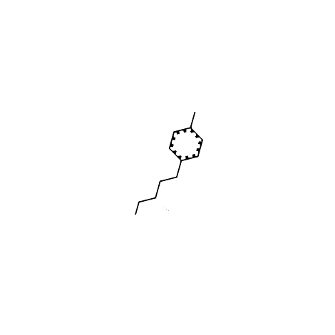 Cc1ccc(CC[C@H](N)CC(=O)O)cc1